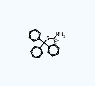 CCC(N)SC(c1ccccc1)(c1ccccc1)c1ccccc1